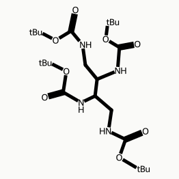 CC(C)(C)OC(=O)NCC(NC(=O)OC(C)(C)C)C(CNC(=O)OC(C)(C)C)NC(=O)OC(C)(C)C